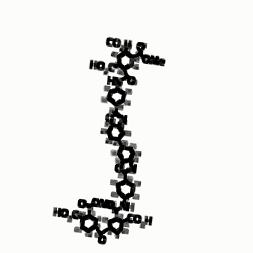 COC(=O)c1cc(C(=O)c2ccc(C(=O)O)c(C(=O)Nc3ccc(-c4nc5ccc(-c6ccc7oc(-c8ccc(NC(=O)c9cc(C(=O)OC)c(C(=O)O)cc9C(=O)O)cc8)nc7c6)cc5o4)cc3)c2)ccc1C(=O)O